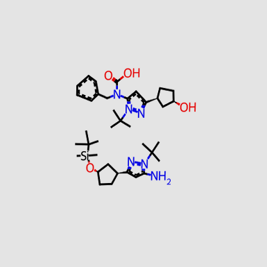 CC(C)(C)n1nc([C@H]2CC[C@@H](O)C2)cc1N(Cc1ccccc1)C(=O)O.CC(C)(C)n1nc([C@H]2CC[C@@H](O[Si](C)(C)C(C)(C)C)C2)cc1N